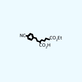 CCOC(=O)CCCCC(CCc1ccc(C#N)cc1)C(=O)O